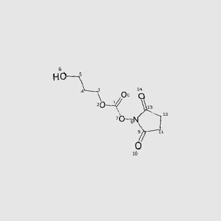 O=C(OCCCO)ON1C(=O)CCC1=O